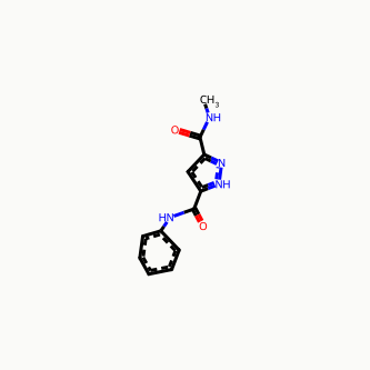 CNC(=O)c1cc(C(=O)Nc2ccccc2)[nH]n1